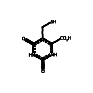 O=C(O)c1[nH]c(=O)[nH]c(=O)c1CS